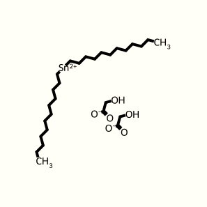 CCCCCCCCCCC[CH2][Sn+2][CH2]CCCCCCCCCCC.O=C([O-])CO.O=C([O-])CO